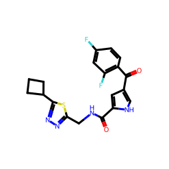 O=C(NCc1nnc(C2CCC2)s1)c1cc(C(=O)c2ccc(F)cc2F)c[nH]1